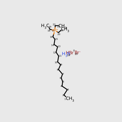 Br.CCCCCCCCCCCCCCCC[P+](CC)(CC)CC.N.[Br-]